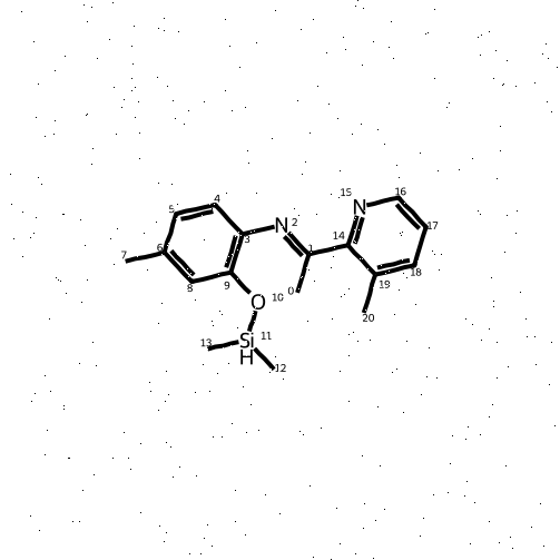 CC(=Nc1ccc(C)cc1O[SiH](C)C)c1ncccc1C